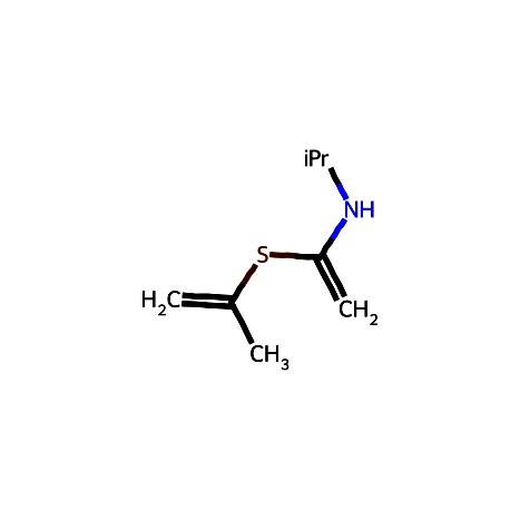 C=C(C)SC(=C)NC(C)C